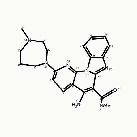 CNC(=O)c1c(N)c2ccc(N3CCCN(C)CC3)nc2n2c1nc1ccccc12